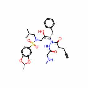 C#CCCC(=O)N(NC(=O)CNC)[C@@H](Cc1ccccc1)[C@H](O)CN(CC(C)C)S(=O)(=O)c1ccc2c(c1)OC(C)O2